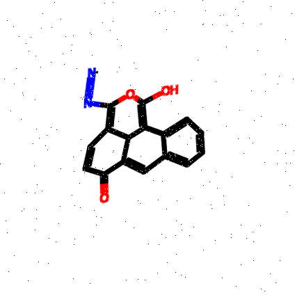 [N]=NC1=C2C=CC(=O)C3=Cc4ccccc4C(=C(O)O1)C32